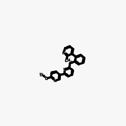 CCOc1ccc(-c2cccc(Cc3ccccc3-c3cccnc3C)n2)cn1